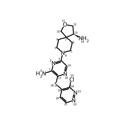 Nc1nc(N2CCC3(CC2)COC[C@H]3N)cnc1Sc1ccnnc1Cl